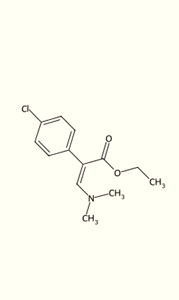 CCOC(=O)C(=CN(C)C)c1ccc(Cl)cc1